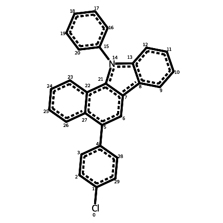 Clc1ccc(-c2cc3c4ccccc4n(-c4ccccc4)c3c3ccccc23)cc1